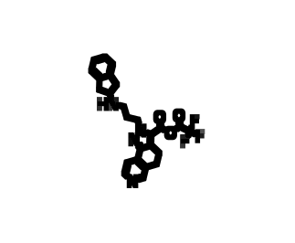 O=C(OC(=O)C(F)(F)F)c1c2c(nn1CCCNC1Cc3ccccc3C1)-c1ccncc1CC2